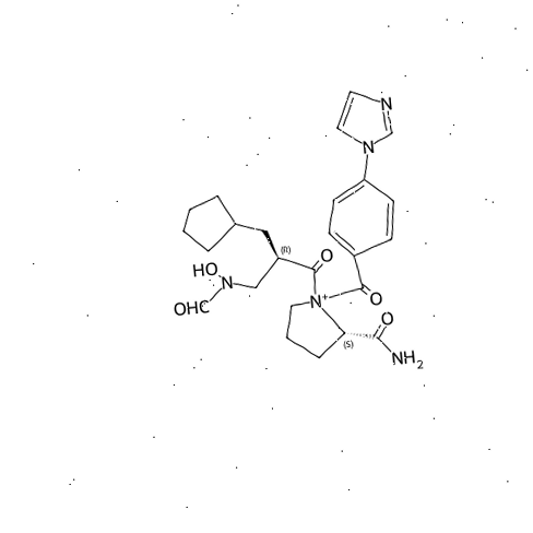 NC(=O)[C@@H]1CCC[N+]1(C(=O)c1ccc(-n2ccnc2)cc1)C(=O)[C@H](CC1CCCC1)CN(O)C=O